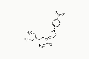 CCN(CC)CCN(C(C)=O)[C@@H]1CCN(c2ccc([N+](=O)[O-])cc2)C1